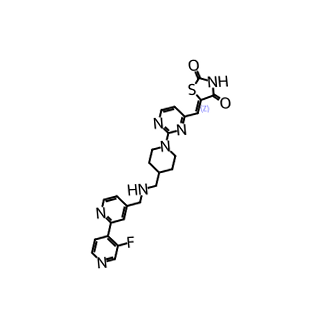 O=C1NC(=O)/C(=C/c2ccnc(N3CCC(CNCc4ccnc(-c5ccncc5F)c4)CC3)n2)S1